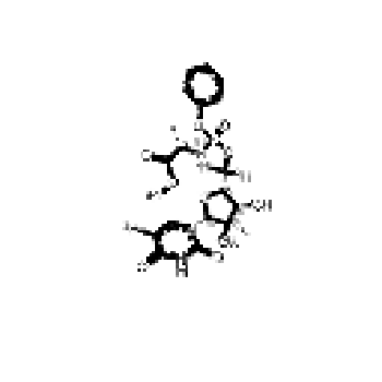 [2H]c1cn([C@@H]2O[C@H](C([2H])([2H])OP(=O)(N[C@@H](C)C(=O)OC(C)C)Oc3ccccc3)[C@@H](O)[C@@]2(C)O)c(=O)[nH]c1=O